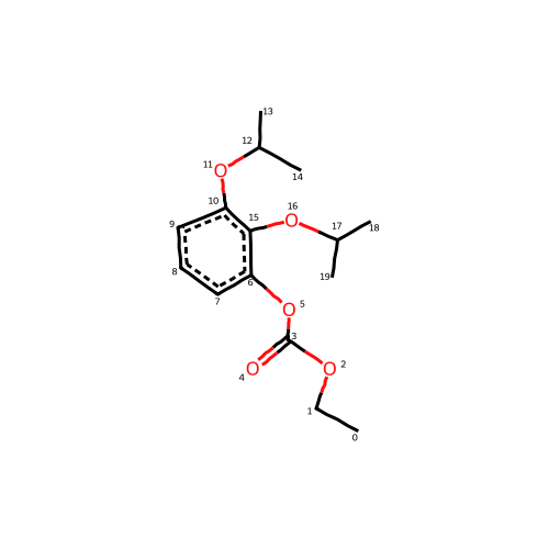 CCOC(=O)Oc1cc[c]c(OC(C)C)c1OC(C)C